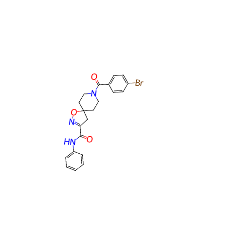 O=C(Nc1ccccc1)C1=NOC2(CCN(C(=O)c3ccc(Br)cc3)CC2)C1